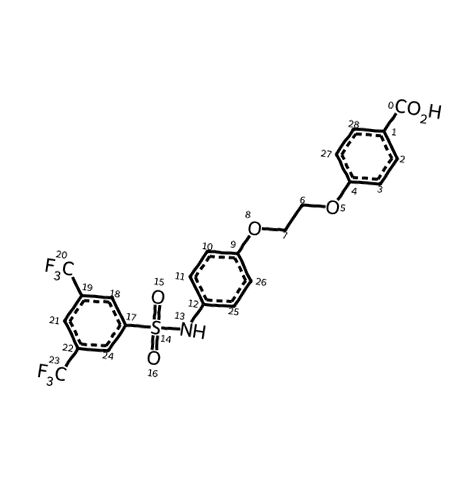 O=C(O)c1ccc(OCCOc2ccc(NS(=O)(=O)c3cc(C(F)(F)F)cc(C(F)(F)F)c3)cc2)cc1